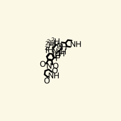 [2H]C1([2H])N(CC2CCNCC2)C([2H])([2H])C([2H])([2H])N(c2c(F)cc3c(c2F)C(=O)N(C2CCC(=O)NC2=O)C3=O)C1([2H])[2H]